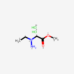 CCN(N)CC(=O)OC.Cl.Cl